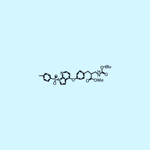 COC(=O)C(CNC(=O)OC(C)(C)C)Cc1ccc(Oc2ccnc3c2ccn3S(=O)(=O)c2ccc(C)cc2)cc1